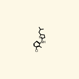 Cc1c(Cl)cccc1NC1=NC(CC(C)C)CC1